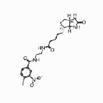 O=C(CCCC[C@@H]1SC[C@@H]2NC(=O)N[C@@H]21)NCCNC(=O)c1ccc(I)c([N+](=O)[O-])c1